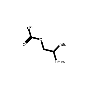 CCCCCCC(CCCC)COC(=O)CCC